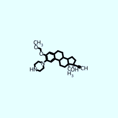 C#C[C@]1(O)CCC2C3CCc4cc(OCOC)c(N5CCNCC5)cc4C3CC[C@@]21C